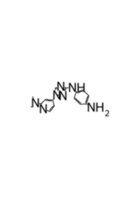 CN(C)c1cc(-n2cnc(Nc3ccc(N)cc3)n2)ccn1